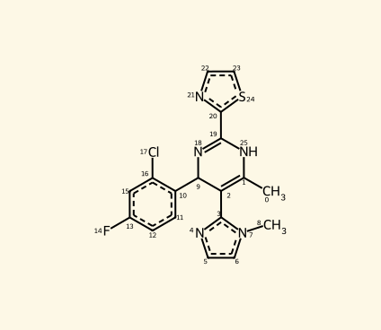 CC1=C(c2nccn2C)C(c2ccc(F)cc2Cl)N=C(c2nccs2)N1